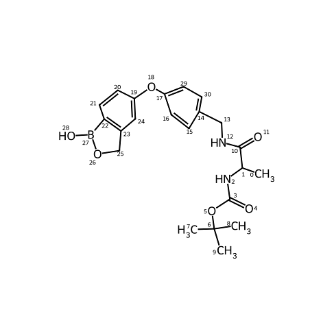 CC(NC(=O)OC(C)(C)C)C(=O)NCc1ccc(Oc2ccc3c(c2)COB3O)cc1